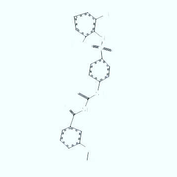 CCCCOc1cccc(C(=O)NC(=S)Nc2ccc(S(=O)(=O)Nc3c(C)cccc3C)cc2)c1